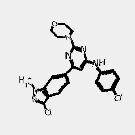 Cn1nc(Cl)c2ccc(-c3cc(Nc4ccc(Cl)cc4)nc(N4CCOCC4)n3)cc21